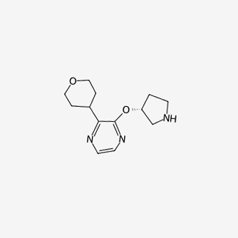 c1cnc(C2CCOCC2)c(O[C@@H]2CCNC2)n1